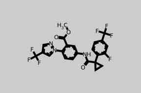 COC(=O)c1cc(NC(=O)C2(c3ccc(C(F)(F)F)cc3F)CC2)ccc1-n1cc(C(F)(F)F)cn1